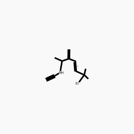 C#CNC(C)C(=C)/C=C/C(C)(C)CC